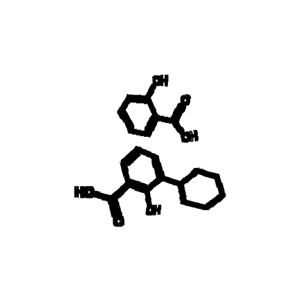 O=C(O)c1cccc(C2CCCCC2)c1O.O=C(O)c1ccccc1O